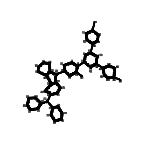 Cc1ccc(-c2cc(-c3ccc(-n4c5ccccc5c5cc(N(c6ccccc6)c6ccccc6)ccc54)cc3C)nc(-c3ccc(C)cc3)n2)cc1